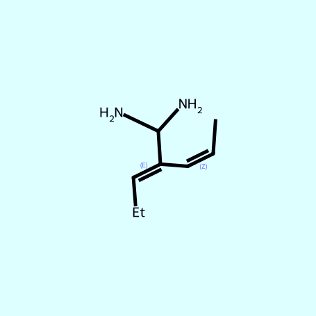 C/C=C\C(=C/CC)C(N)N